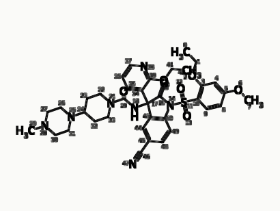 CCOc1cc(OC)ccc1S(=O)(=O)N1C(=O)C(NC(=O)N2CCC(N3CCN(C)CC3)CC2)(c2cccnc2OCC)c2cc(C#N)ccc21